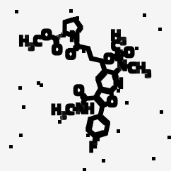 CNC(=O)c1c(-c2ccc(F)cc2)oc2nc(N(C)S(C)(=O)=O)c(CCCC(=O)N3CCC[C@H]3C(=O)OC)cc12